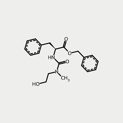 CN(CCO)C(=O)N[C@@H](Cc1ccccc1)C(=O)OCc1ccccc1